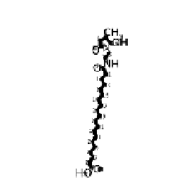 CC1CC(=O)N(CCNC(=O)CCCCCCCCCCCCCCCCCCC(=O)O)C1O